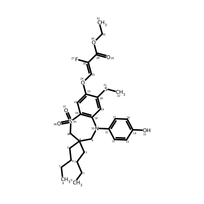 CCCCC1(CCCC)CN(c2ccc(O)cc2)c2cc(SC)c(O/C=C(\F)C(=O)OCC)cc2S(=O)(=O)C1